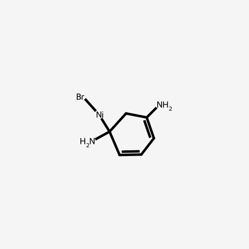 NC1=CC=C[C](N)([Ni][Br])C1